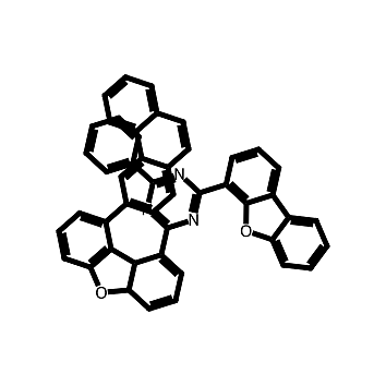 C1=CC2Oc3cccc(-c4ccc5ccc6ccccc6c5c4)c3C2C(c2nc(-c3ccccc3)nc(-c3cccc4c3oc3ccccc34)n2)=C1